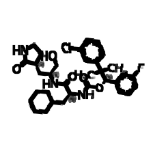 CC(C)(c1cccc(Cl)c1)[C@@H](OC(=O)N[C@@H](CC1CCCCC1)C(=O)N[C@H](CO)C[C@@H]1CCNC1=O)c1cccc(F)c1